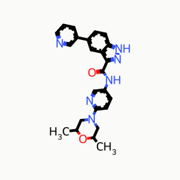 CC1CN(c2ccc(NC(=O)c3n[nH]c4ccc(-c5cccnc5)cc34)cn2)CC(C)O1